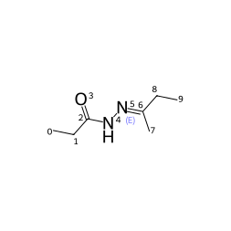 CCC(=O)N/N=C(\C)CC